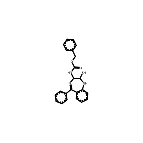 O=C(NC1N=C(c2ccccc2)c2ccccc2NC1S)OCc1ccccc1